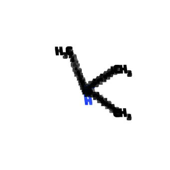 CCCCCCCCCCCCCCCCCc1c[nH]c(CCCCCCCCCCCCCC)[n+]1CCCCCCCCCCCCCCCC